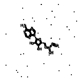 N=PN(O)OC[C@H]1O[C@@H](n2cnc3c(N)ncnc32)[C@H](O)[C@@H]1O